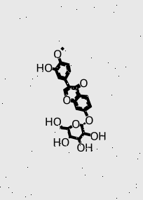 COc1ccc(-c2coc3cc(O[C@@H]4OC(CO)[C@@H](O)C(O)C4O)ccc3c2=O)cc1O